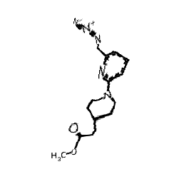 COC(=O)CC1CCN(c2cccc(CN=[N+]=[N-])n2)CC1